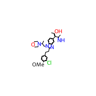 COc1ccc(CCc2nc3cc(/C(C(C)=N)=C(\C)O)ccc3n2CC(C)N2CCOCC2)cc1Cl